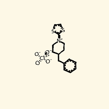 [O-][Cl+3]([O-])([O-])[O-].c1ccc(CC2CC[N+](=c3sccs3)CC2)cc1